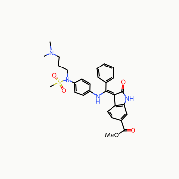 COC(=O)c1ccc2c(c1)NC(=O)/C2=C(/Nc1ccc(N(CCCN(C)C)S(C)(=O)=O)cc1)c1ccccc1